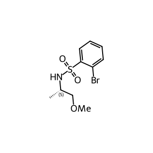 COC[C@H](C)NS(=O)(=O)c1ccccc1Br